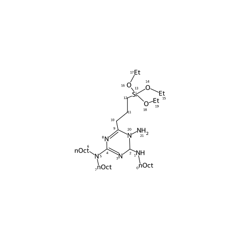 CCCCCCCCNC1N=C(N(CCCCCCCC)CCCCCCCC)N=C(CCC[Si](OCC)(OCC)OCC)N1N